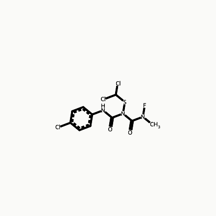 CN(F)C(=O)N(SC(Cl)Cl)C(=O)Nc1ccc(Cl)cc1